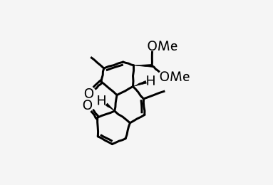 COC(OC)[C@@H]1C=C(C)C(=O)C2[C@H]3C(=O)C=CCC3C=C(C)[C@H]21